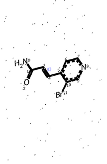 NC(=O)/C=C/c1ccncc1Br